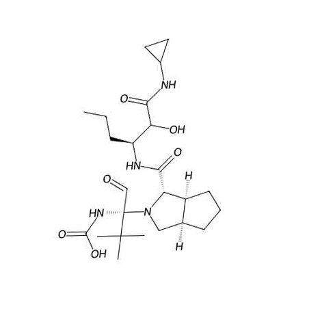 CCC[C@H](NC(=O)[C@@H]1[C@H]2CCC[C@H]2CN1[C@@](C=O)(NC(=O)O)C(C)(C)C)C(O)C(=O)NC1CC1